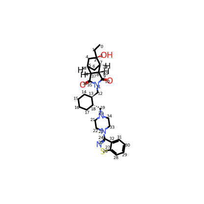 CC[C@@]1(O)C[C@H]2C[C@@H]1[C@@H]1C(=O)N(C[C@@H]3CCCC[C@H]3CN3CCN(c4nsc5ccccc45)CC3)C(=O)[C@H]21